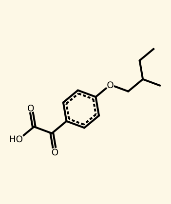 CCC(C)COc1ccc(C(=O)C(=O)O)cc1